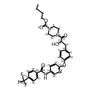 CCCCOC(=O)N1CCN(C(=O)C(O)Cc2ccc(Oc3ccc(NC(=O)c4ccc(C(F)(F)F)cc4)cn3)cc2)CC1